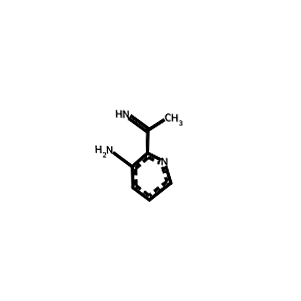 CC(=N)c1ncccc1N